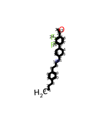 C=CCCc1ccc(CC/C=C/C2CCC(c3ccc(C4CO4)c(F)c3F)CC2)cc1